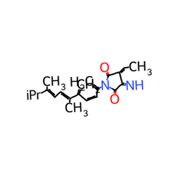 C=C(/C=C\C(=C)N1C(=O)C(=N)/C(=C\C)C1=O)/C(C)=C/C=C(\C)C(C)C